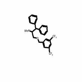 CNC(COCc1cc(C(F)(F)F)cc(C(F)(F)F)c1)C(c1ccccc1)c1ccccc1